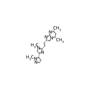 Cc1cc(C)n2cc(/C=C/c3nc(-c4ccnn4C)cn3C)nc2n1